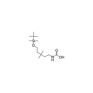 CC(C)(CCNC(=O)O)CCO[Si](C)(C)C(C)(C)C